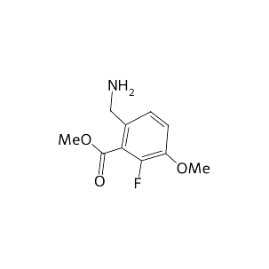 COC(=O)c1c(CN)ccc(OC)c1F